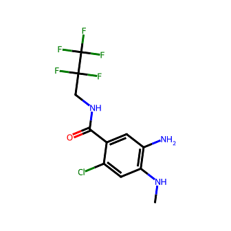 CNc1cc(Cl)c(C(=O)NCC(F)(F)C(F)(F)F)cc1N